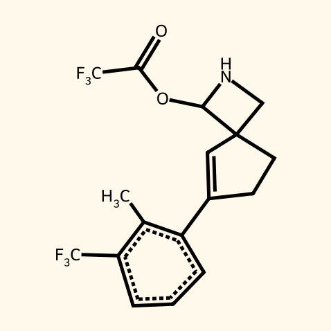 Cc1c(C2=CC3(CC2)CNC3OC(=O)C(F)(F)F)cccc1C(F)(F)F